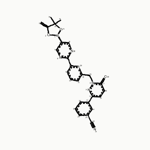 C=C1OB(c2cnc(-c3cccc(Cn4nc(-c5cccc(C#N)c5)ccc4=O)n3)nc2)OC1(C)C